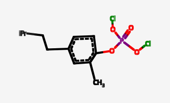 Cc1cc(CCC(C)C)ccc1OP(=O)(OCl)OCl